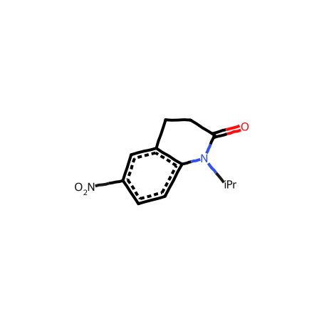 CC(C)N1C(=O)CCc2cc([N+](=O)[O-])ccc21